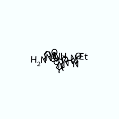 CCOc1cncc(-c2ccc(C(=O)NS(=O)(=O)c3cccc(N)n3)c(N3CCC(C)C3(C)C)n2)n1